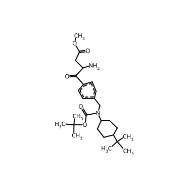 COC(=O)CC(N)C(=O)c1ccc(CN(C(=O)OC(C)(C)C)C2CCC(C(C)(C)C)CC2)cc1